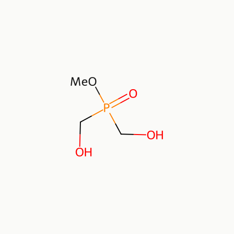 COP(=O)(CO)CO